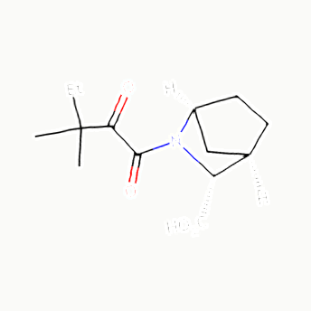 CCC(C)(C)C(=O)C(=O)N1[C@H]2CC[C@H](C2)[C@@H]1C(=O)O